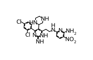 N=c1nc(-c2ccc(Cl)cc2Cl)c(C2CNCCN2)c(CCNc2ccc([N+](=O)[O-])c(N)n2)[nH]1